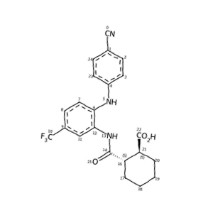 N#Cc1ccc(Nc2ccc(C(F)(F)F)cc2NC(=O)[C@H]2CCCC[C@@H]2C(=O)O)cc1